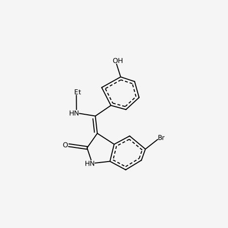 CCN/C(=C1\C(=O)Nc2ccc(Br)cc21)c1cccc(O)c1